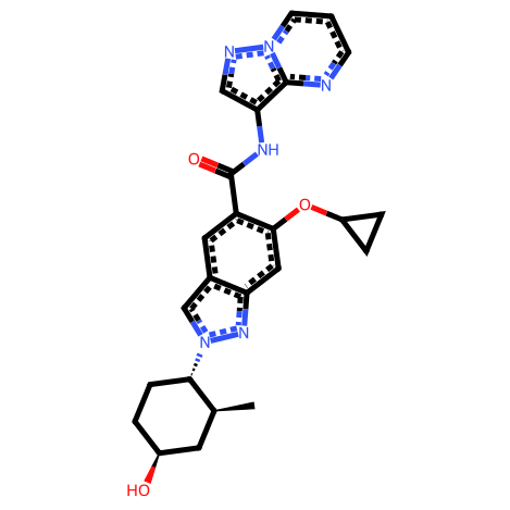 C[C@H]1C[C@@H](O)CC[C@@H]1n1cc2cc(C(=O)Nc3cnn4cccnc34)c(OC3CC3)cc2n1